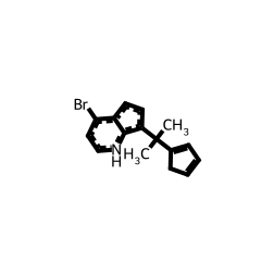 CC(C)(C1=CC=CC1)c1ccc2c(Br)cc[nH]c1-2